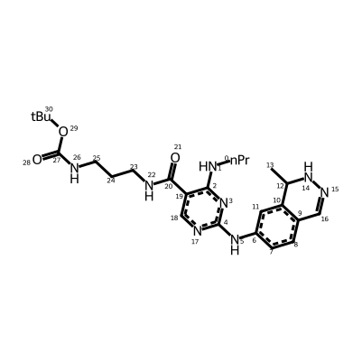 CCCNc1nc(Nc2ccc3c(c2)C(C)NN=C3)ncc1C(=O)NCCCNC(=O)OC(C)(C)C